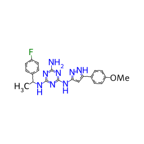 COc1ccc(-c2cc(Nc3nc(N)nc(NC(C)c4ccc(F)cc4)n3)n[nH]2)cc1